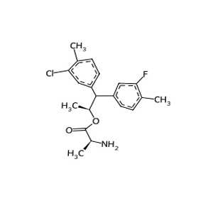 Cc1ccc(C(c2ccc(C)c(Cl)c2)[C@H](C)OC(=O)[C@H](C)N)cc1F